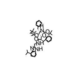 CC(C)c1cccc2[nH]c(CNC(=O)[C@H](Cc3ccccc3)C[C@H](O[Si](C)(C)C(C)(C)C)[C@H](Cc3ccccc3)NC(=O)OC(C)(C)C)nc12